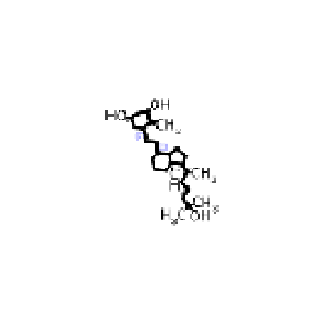 C=C1/C(=C\C=C2/CCC[C@@]3(C)C2CCC3[C@H](C)CCCC(C)(C)O)C[C@@H](O)CC1O